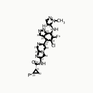 Cn1nccc1Nc1c(F)c(Cl)c(-c2cn3cc(NC(=O)[C@@H]4C[C@@H]4F)nc3cn2)c2cn[nH]c12